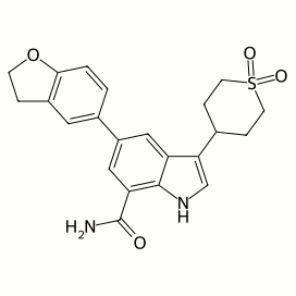 NC(=O)c1cc(-c2ccc3c(c2)CCO3)cc2c(C3CCS(=O)(=O)CC3)c[nH]c12